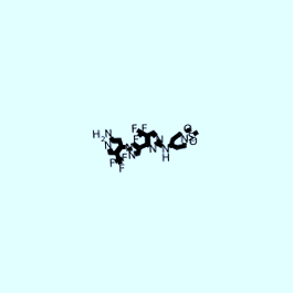 CS(=O)(=O)N1CCC(Nc2ncc(C(F)(F)F)c(-c3cnn(-c4cc(N)ncc4C(F)(F)F)c3)n2)CC1